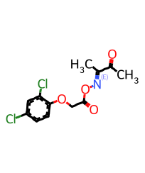 CC(=O)/C(C)=N/OC(=O)COc1ccc(Cl)cc1Cl